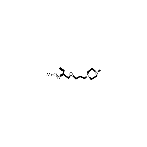 C=C/C(COCCCN1CCN(C)CC1)=N\OC